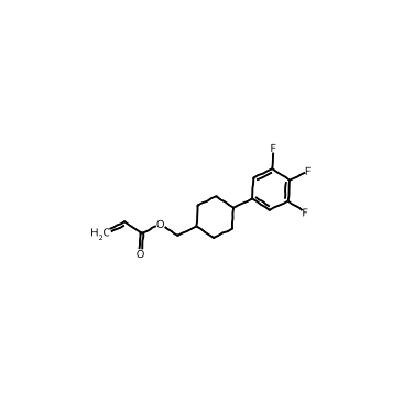 C=CC(=O)OCC1CCC(c2cc(F)c(F)c(F)c2)CC1